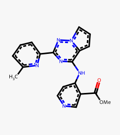 COC(=O)c1cnccc1Nc1nc(-c2cccc(C)n2)nn2cccc12